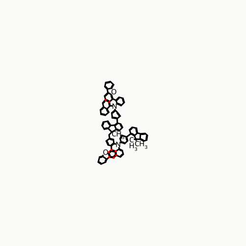 CC1(C)c2ccccc2-c2cccc(-c3ccc(N(c4cc(CC5(C)c6ccccc6-c6c(-c7ccc(N(c8ccccc8-c8cccc9c8oc8ccccc89)c8cccc9ccccc89)cc7)cccc65)ccc4-c4cccc5c4oc4ccccc45)c4cccc5ccccc45)cc3)c21